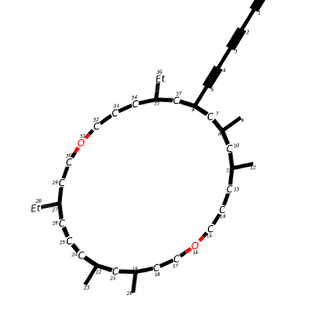 C#CC#CC#CC1CC(C)CC(C)CCCOCCC(C)CC(C)CCCC(CC)CCOCCCC(CC)C1